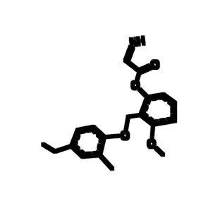 CCc1ccc(OCc2c(OC)cccc2OC(=O)C=N)c(C)c1